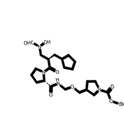 CC(C)(C)OC(=O)N1CCC(COCNC(=O)[C@@H]2CCCN2C(=O)[C@H](CC2CCCC2)CN(O)C=O)C1